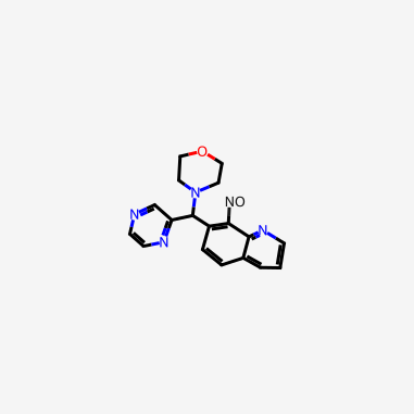 O=Nc1c(C(c2cnccn2)N2CCOCC2)ccc2cccnc12